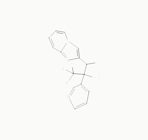 OC(c1cccnc1)(C(F)c1cn2ccccc2n1)C(F)(F)F